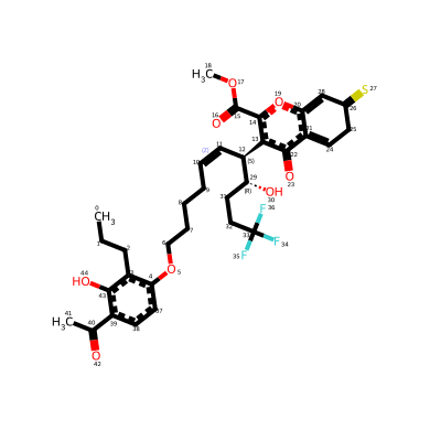 CCCc1c(OCCCC/C=C\[C@@H](c2c(C(=O)OC)oc3c(c2=O)=CCC(=S)C=3)[C@H](O)CCC(F)(F)F)ccc(C(C)=O)c1O